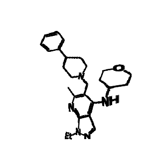 CCn1ncc2c(NC3CCOCC3)c(CN3CCC(c4ccccc4)CC3)c(C)nc21